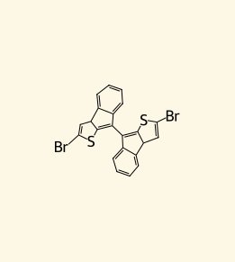 BrC1=CC2C(=C(C3=C4SC(Br)=CC4c4ccccc43)c3ccccc32)S1